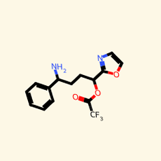 NC(CCC(OC(=O)C(F)(F)F)c1ncco1)c1ccccc1